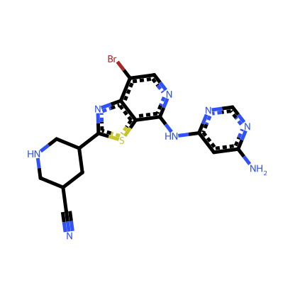 N#CC1CNCC(c2nc3c(Br)cnc(Nc4cc(N)ncn4)c3s2)C1